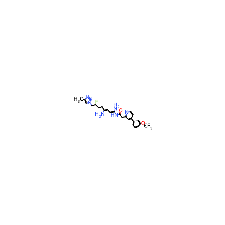 Cc1cn(CC(F)CC/C(N)=C/C=C(\N)NC(=O)Cc2cc(-c3cccc(OC(F)(F)F)c3)ccn2)nn1